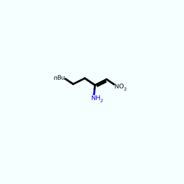 CCCCCC/C(N)=C/[N+](=O)[O-]